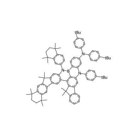 CC(C)(C)c1ccc(N(c2ccc(C(C)(C)C)cc2)c2ccc3c(c2)N(c2ccc(C(C)(C)C)cc2)c2cc4c(c5c2B3N(c2ccc3c(c2)C(C)(C)CCC3(C)C)c2cc3c(cc2-5)-c2cc5c(cc2C3(C)C)C(C)(C)CCC5(C)C)C(C)(C)c2ccccc2-4)cc1